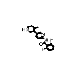 CC1=C(c2ccc(NC(=O)c3c(F)cccc3F)nc2)CNCC1